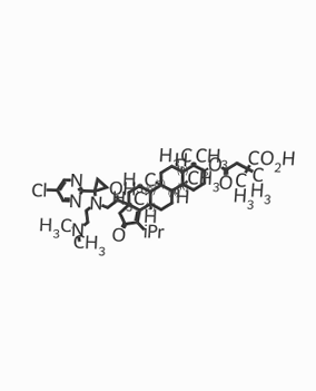 CC(C)C1=C2[C@H]3CC[C@@H]4[C@@]5(C)CC[C@H](OC(=O)CC(C)(C)C(=O)O)C(C)(C)[C@@H]5CC[C@@]4(C)[C@]3(C)CCC2(C(O)CN(CCN(C)C)C2(c3ncc(Cl)cn3)CC2)CC1=O